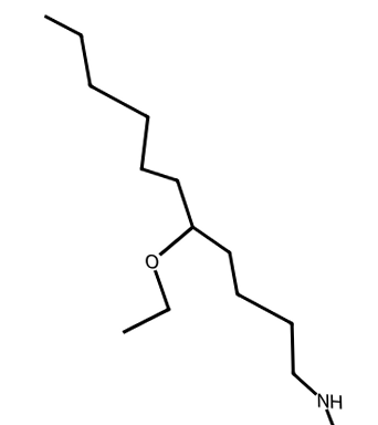 CCCCCCC(CCCCNC)OCC